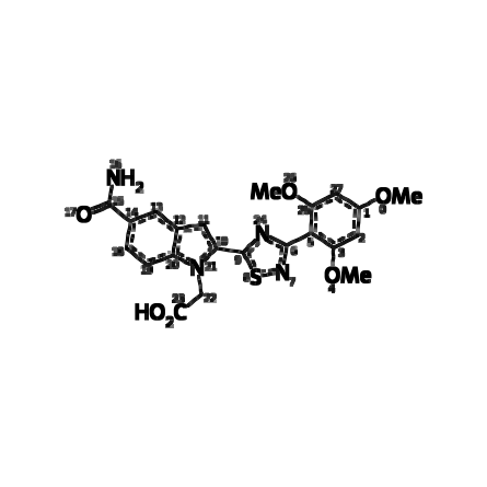 COc1cc(OC)c(-c2nsc(-c3cc4cc(C(N)=O)ccc4n3CC(=O)O)n2)c(OC)c1